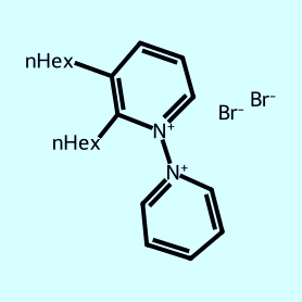 CCCCCCc1ccc[n+](-[n+]2ccccc2)c1CCCCCC.[Br-].[Br-]